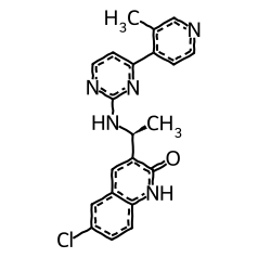 Cc1cnccc1-c1ccnc(N[C@@H](C)c2cc3cc(Cl)ccc3[nH]c2=O)n1